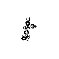 C[C@@H]1CCc2ncnc(N3CCN(C(=O)C(CN4CC[C@H](F)C4)c4ccc(Cl)cc4)CC3)c21